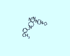 Cc1cccc(CN2CCc3ncnc(N4CCN(C5CCC5)CC4)c3CC2)c1